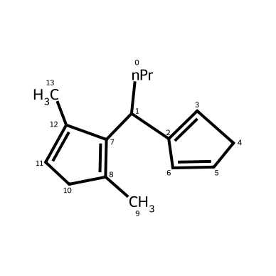 CCCC(C1=CCC=C1)C1=C(C)CC=C1C